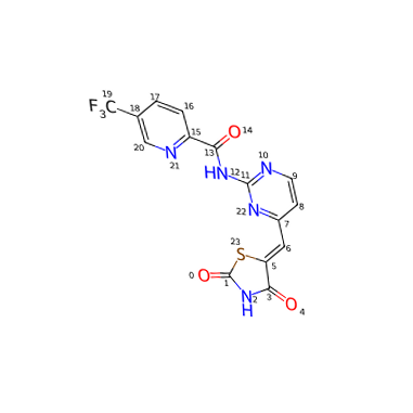 O=C1NC(=O)C(=Cc2ccnc(NC(=O)c3ccc(C(F)(F)F)cn3)n2)S1